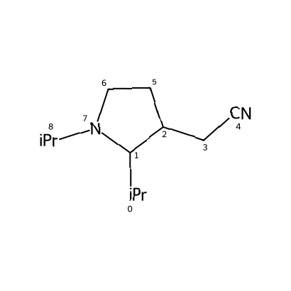 CC(C)C1C(CC#N)CCN1C(C)C